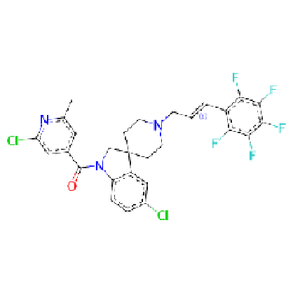 Cc1cc(C(=O)N2CC3(CCN(C/C=C/c4c(F)c(F)c(F)c(F)c4F)CC3)c3cc(Cl)ccc32)cc(Cl)n1